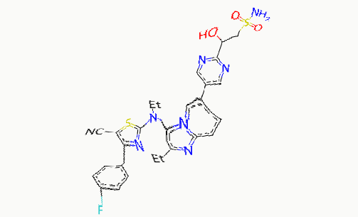 CCc1nc2ccc(-c3cnc(C(O)CS(N)(=O)=O)nc3)cn2c1N(CC)c1nc(-c2ccc(F)cc2)c(C#N)s1